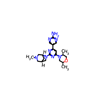 C[C@H]1CN(c2cc(-c3cnc(N)nc3)nc(N3C[C@@H]4C[C@H]3CN(C)C4)n2)[C@@H](C)CO1